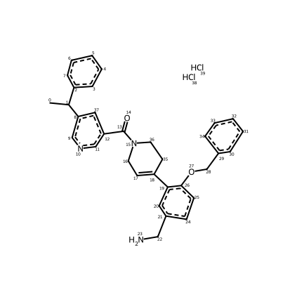 CC(c1ccccc1)c1cncc(C(=O)N2CC=C(c3cc(CN)ccc3OCc3ccccc3)CC2)c1.Cl.Cl